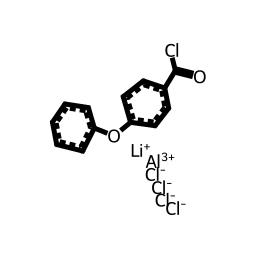 O=C(Cl)c1ccc(Oc2ccccc2)cc1.[Al+3].[Cl-].[Cl-].[Cl-].[Cl-].[Li+]